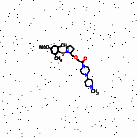 COc1cc(C)c(SN2CCCC2COCC(=O)N2CCN(C3CCN(C)CC3)CC2)c(C)c1